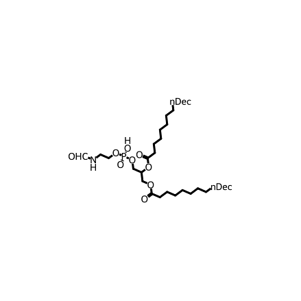 CCCCCCCCCCCCCCCCCC(=O)OCC(COP(=O)(O)OCCNC=O)OC(=O)CCCCCCCCCCCCCCCCC